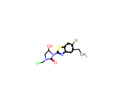 CCc1cc2nc(N3C(=O)N(CCl)CC3O)sc2cc1Br